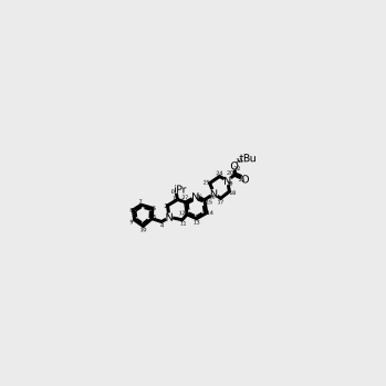 CC(C)C1CN(Cc2ccccc2)Cc2ccc(N3CCN(C(=O)OC(C)(C)C)CC3)nc21